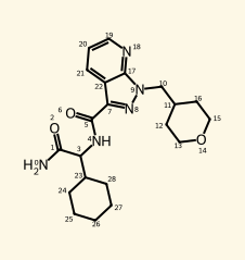 NC(=O)C(NC(=O)c1nn(CC2CCOCC2)c2ncccc12)C1CCCCC1